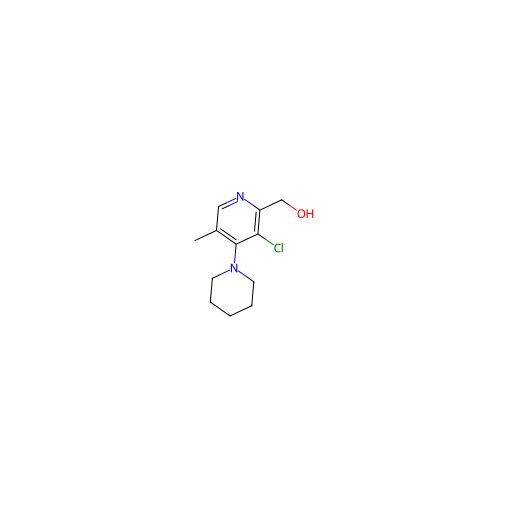 Cc1cnc(CO)c(Cl)c1N1CCCCC1